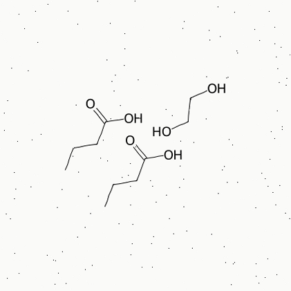 CCCC(=O)O.CCCC(=O)O.OCCO